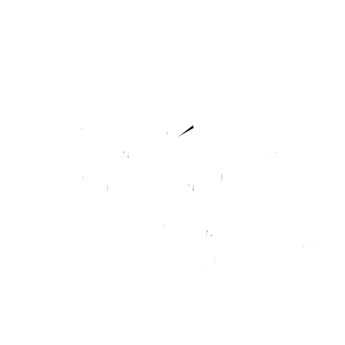 CN(C(=O)N(C)[C@@H]1CN(C(=O)C2(F)CCOCC2)C[C@H]1c1ccc(F)cc1)c1cc(C(F)(F)F)cc(C(F)(F)F)c1